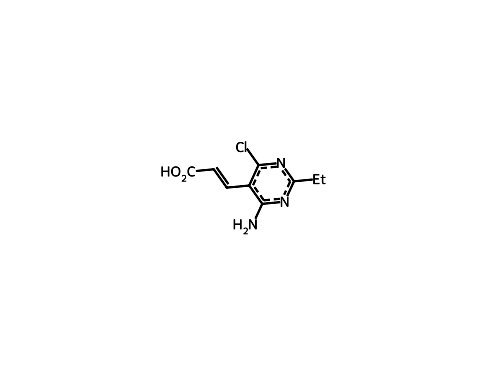 CCc1nc(N)c(C=CC(=O)O)c(Cl)n1